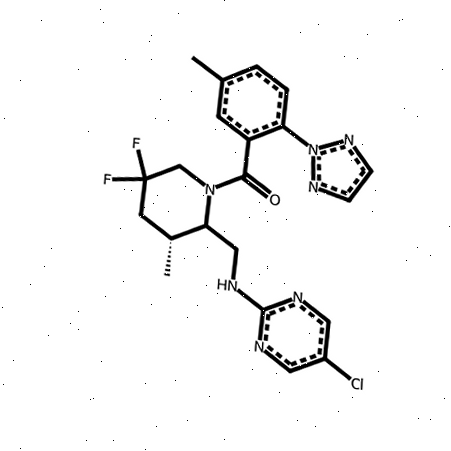 Cc1ccc(-n2nccn2)c(C(=O)N2CC(F)(F)C[C@@H](C)C2CNc2ncc(Cl)cn2)c1